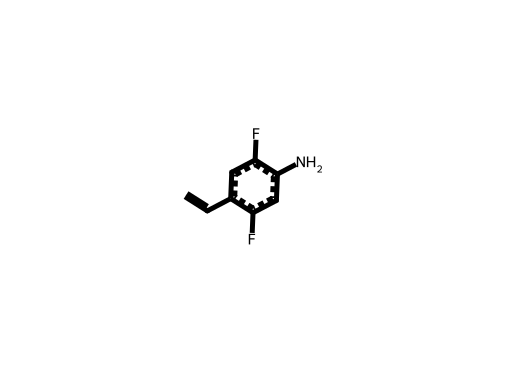 C=Cc1cc(F)c(N)cc1F